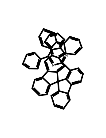 c1ccc(-c2nc(-c3cccc4c3C3(c5ccccc5-c5cc6c7ccccc7c7ccccc7c6cc53)c3ccccc3-4)nc3ccccc23)cc1